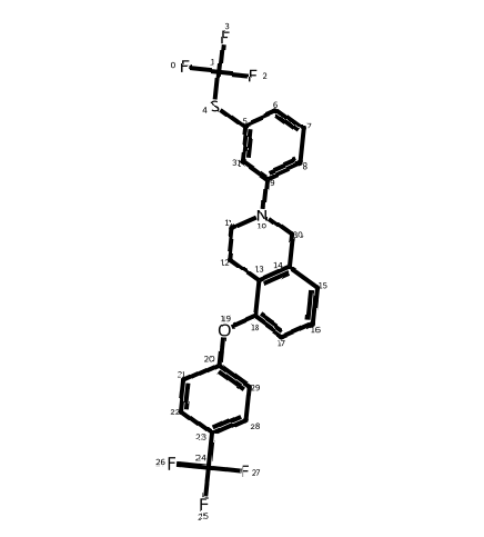 FC(F)(F)Sc1cccc(N2CCc3c(cccc3Oc3ccc(C(F)(F)F)cc3)C2)c1